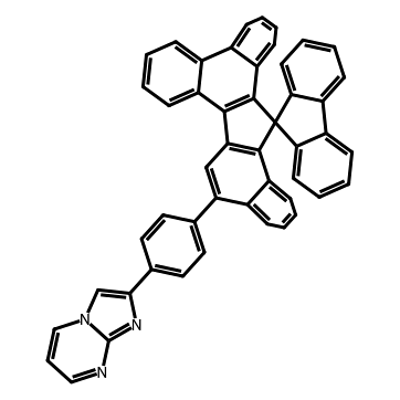 c1ccc2c(c1)-c1ccccc1C21c2c(cc(-c3ccc(-c4cn5cccnc5n4)cc3)c3ccccc23)-c2c1c1ccccc1c1ccccc21